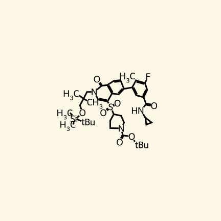 Cc1c(F)cc(C(=O)NC2CC2)cc1-c1ccc2c(=O)n(CC(C)(C)CO[Si](C)(C)C(C)(C)C)cc(S(=O)(=O)C3CCN(C(=O)OC(C)(C)C)CC3)c2c1